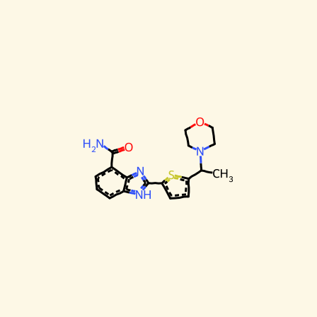 CC(c1ccc(-c2nc3c(C(N)=O)cccc3[nH]2)s1)N1CCOCC1